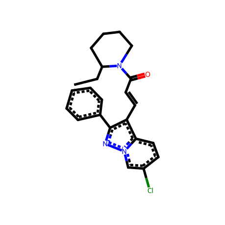 CCC1CCCCN1C(=O)/C=C/c1c(-c2ccccc2)nn2cc(Cl)ccc12